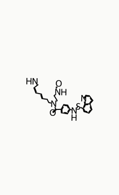 N=C/C=C\C=C\CCN(CCNC=O)C(=O)c1ccc(NSc2cccc3cccnc23)cc1